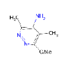 COc1nnc(C)c(N)c1C